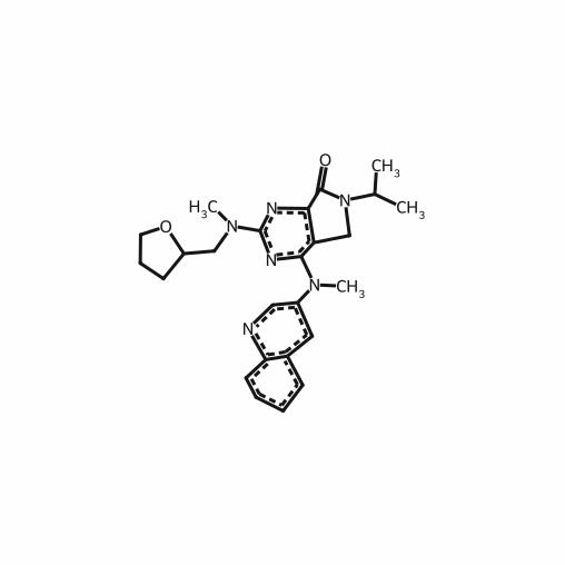 CC(C)N1Cc2c(nc(N(C)CC3CCCO3)nc2N(C)c2cnc3ccccc3c2)C1=O